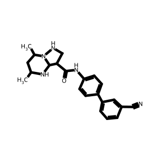 CC1CC(C)N2NCC(C(=O)Nc3ccc(-c4cccc(C#N)c4)cc3)C2N1